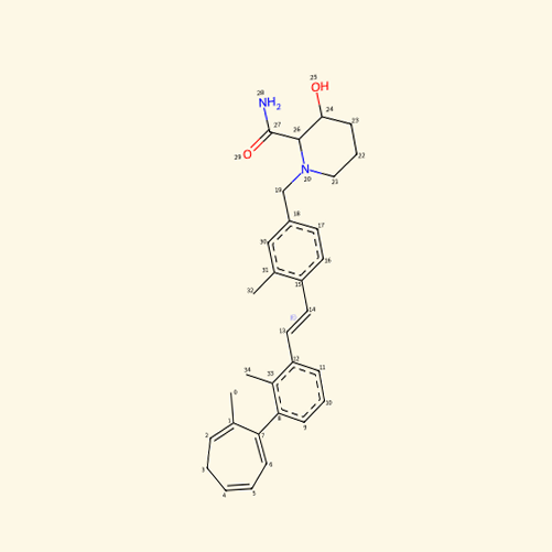 CC1=CCC=CC=C1c1cccc(/C=C/c2ccc(CN3CCCC(O)C3C(N)=O)cc2C)c1C